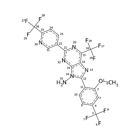 COc1cc(C(F)(F)F)ccc1-c1nc2c(C(F)(F)F)nc(-c3ccc(C(F)(F)F)nc3)nc2n1N